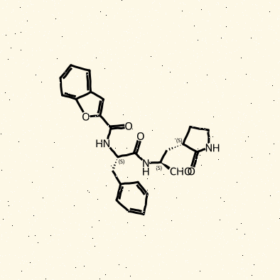 O=C[C@H](C[C@@H]1CCNC1=O)NC(=O)[C@H](Cc1ccccc1)NC(=O)c1cc2ccccc2o1